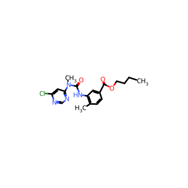 CCCCOC(=O)c1ccc(C)c(NC(=O)N(C)c2cc(Cl)ncn2)c1